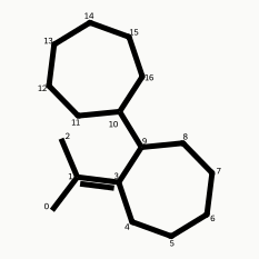 CC(C)=C1CCCCCC1C1CCCCCC1